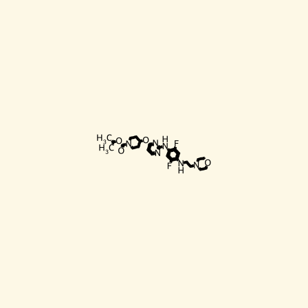 CC(C)OC(=O)N1CCC(Oc2ccnc(Nc3cc(F)c(NCCN4CCOCC4)cc3F)n2)CC1